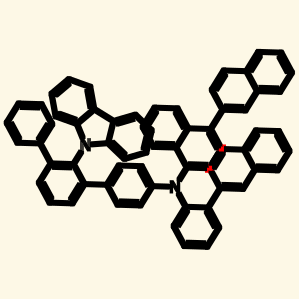 c1ccc(-c2cccc(-c3ccc(N(c4ccccc4-c4ccc5ccccc5c4)c4ccc(-c5ccc6ccccc6c5)c5ccccc45)cc3)c2-n2c3ccccc3c3ccccc32)cc1